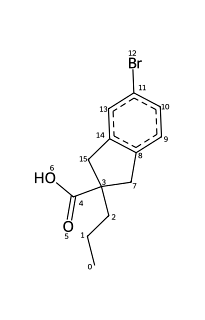 CCCC1(C(=O)O)Cc2ccc(Br)cc2C1